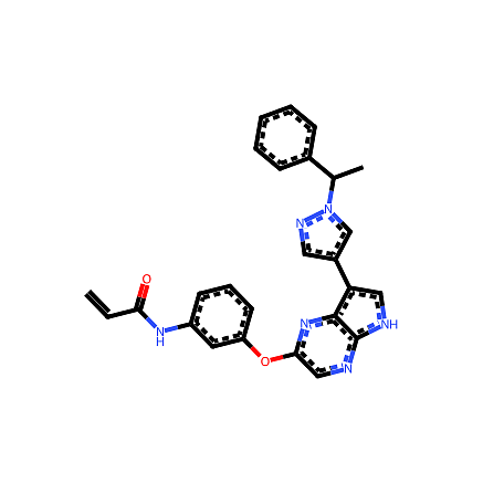 C=CC(=O)Nc1cccc(Oc2cnc3[nH]cc(-c4cnn(C(C)c5ccccc5)c4)c3n2)c1